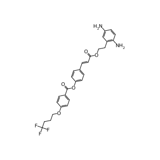 Nc1ccc(N)c(CCOC(=O)/C=C/c2ccc(OC(=O)c3ccc(OCCCC(F)(F)F)cc3)cc2)c1